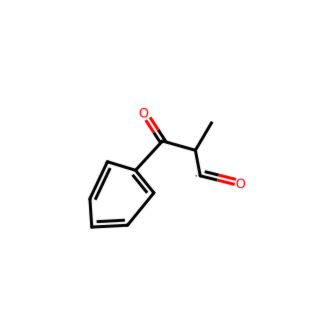 CC([C]=O)C(=O)c1ccccc1